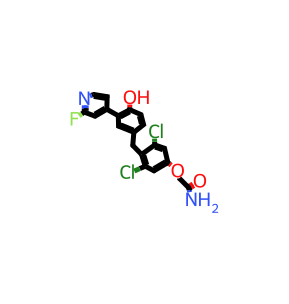 NC(=O)COc1cc(Cl)c(Cc2ccc(O)c(-c3ccnc(F)c3)c2)c(Cl)c1